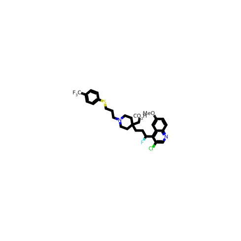 COc1ccc2ncc(Cl)c(C(F)CCC3(CC(=O)O)CCN(CCCSc4ccc(C(F)(F)F)cc4)CC3)c2c1